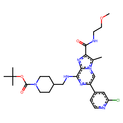 COCCNC(=O)c1nc2c(NCC3CCN(C(=O)OC(C)(C)C)CC3)nc(-c3ccnc(Cl)c3)cn2c1C